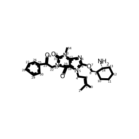 CC(C)=CCn1c(OC[C@@H]2CCCC[C@H]2N)nc2c1c(=O)n(CC(=O)c1ccccc1)c(=O)n2C